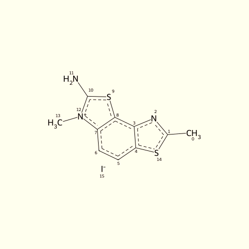 Cc1nc2c(ccc3c2sc(N)[n+]3C)s1.[I-]